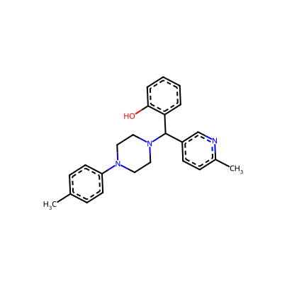 Cc1ccc(N2CCN(C(c3ccc(C)nc3)c3ccccc3O)CC2)cc1